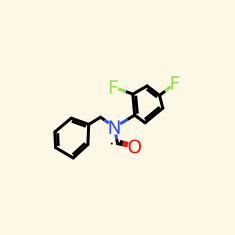 O=[C]N(Cc1ccccc1)c1ccc(F)cc1F